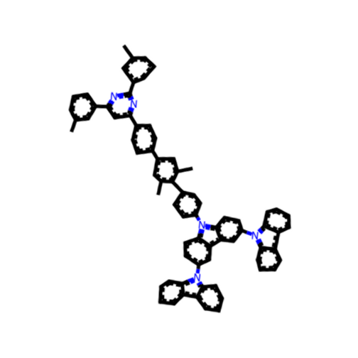 Cc1cccc(-c2cc(-c3ccc(-c4cc(C)c(-c5ccc(-n6c7ccc(-n8c9ccccc9c9ccccc98)cc7c7cc(-n8c9ccccc9c9ccccc98)ccc76)cc5)c(C)c4)cc3)nc(-c3cccc(C)c3)n2)c1